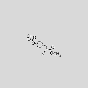 COC(=O)Oc1ccc(/C=C(\C#N)C(=O)OC)cc1